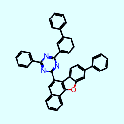 C1=C(c2ccccc2)CCC=C1c1nc(-c2ccccc2)nc(-c2cc3ccccc3c3oc4cc(-c5ccccc5)ccc4c23)n1